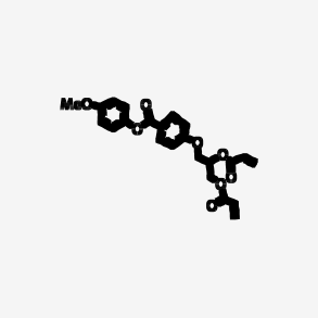 C=CC(=O)OCC(COc1ccc(C(=O)Oc2ccc(OC)cc2)cc1)OC(=O)C=C